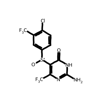 Nc1nc(C(F)(F)F)c([S+]([O-])c2ccc(Cl)c(C(F)(F)F)c2)c(=O)[nH]1